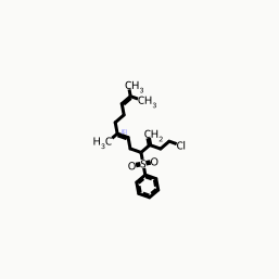 C=C(CCCl)C(C/C=C(\C)CCC=C(C)C)S(=O)(=O)c1ccccc1